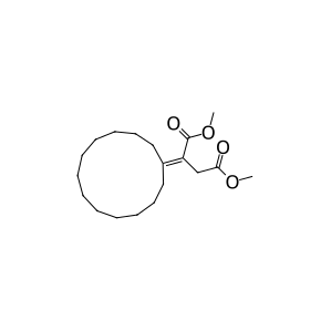 COC(=O)CC(C(=O)OC)=C1CCCCCCCCCCCC1